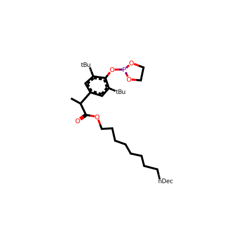 CCCCCCCCCCCCCCCCCCOC(=O)C(C)c1cc(C(C)(C)C)c(OP2OCCO2)c(C(C)(C)C)c1